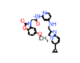 COc1ccc2oc(=O)n(CC(=O)Nc3cc(NCc4cn5cc(C6CC6)ccc5n4)ccn3)c2c1